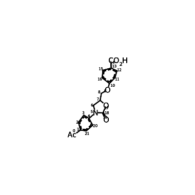 CC(=O)c1ccc(N2CC(COc3ccc(C(=O)O)cc3)OC2=O)cc1